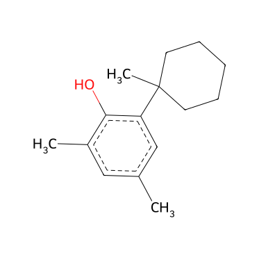 Cc1cc(C)c(O)c(C2(C)CCCCC2)c1